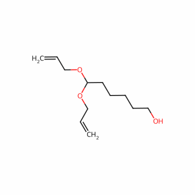 C=CCOC(CCCCCO)OCC=C